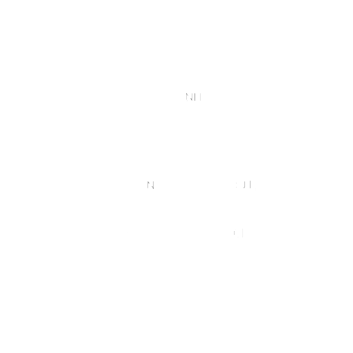 Cc1c2c(nc3c(C4CC4)ccc(Cl)c13)CCNCC2